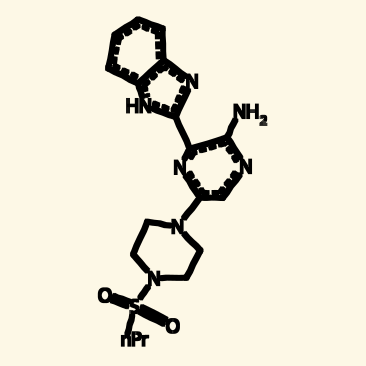 CCCS(=O)(=O)N1CCN(c2cnc(N)c(-c3nc4ccccc4[nH]3)n2)CC1